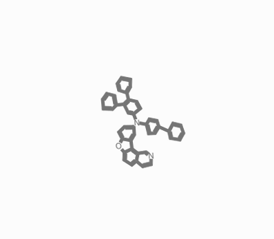 c1ccc(-c2ccc(N(c3ccc(-c4ccccc4)c(-c4ccccc4)c3)c3ccc4oc5ccc6ccncc6c5c4c3)cc2)cc1